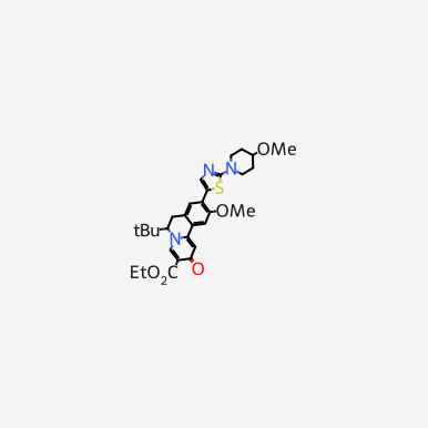 CCOC(=O)c1cn2c(cc1=O)-c1cc(OC)c(-c3cnc(N4CCC(OC)CC4)s3)cc1CC2C(C)(C)C